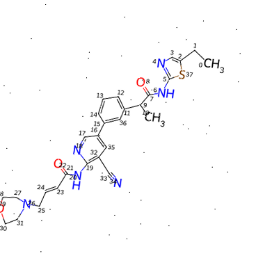 CCc1cnc(NC(=O)C(C)c2cccc(-c3cnc(NC(=O)/C=C/CN4CCOCC4)c(C#N)c3)c2)s1